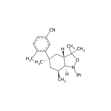 Cc1ccc(C#N)cc1[C@]1(C)C[C@H](C)[C@H]2[C@H](C1)C(C)(C)ON2C(C)C